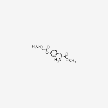 COCC(=O)Oc1ccc(C=C(N)C(=O)OC)cc1